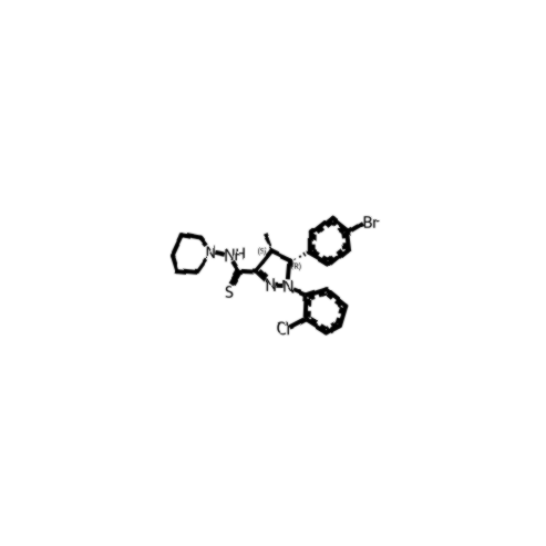 C[C@@H]1C(C(=S)NN2CCCCC2)=NN(c2ccccc2Cl)[C@H]1c1ccc(Br)cc1